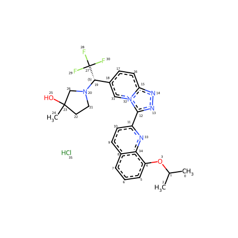 CC(C)Oc1cccc2ccc(-c3nnc4ccc([C@H](N5CCC(C)(O)C5)C(F)(F)F)cn34)nc12.Cl